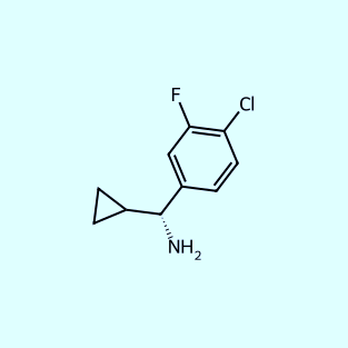 N[C@@H](c1ccc(Cl)c(F)c1)C1CC1